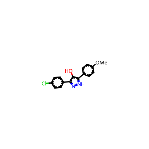 COc1ccc(-c2[nH]nc(-c3ccc(Cl)cc3)c2O)cc1